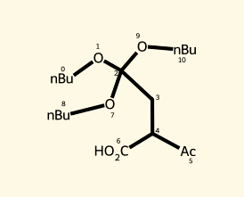 CCCCOC(CC(C(C)=O)C(=O)O)(OCCCC)OCCCC